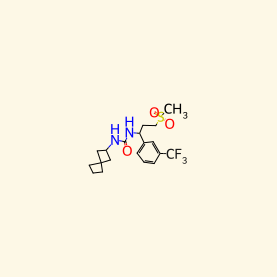 CS(=O)(=O)CCC(NC(=O)NC1CC2(CCC2)C1)c1cccc(C(F)(F)F)c1